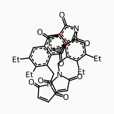 CCc1cc2c(c(CN3C(=O)C=CC3=O)c1CC)c1c3c(=O)n4c(=O)c3c2c2c(=O)n(c(=O)c21)c1c(CN2C(=O)C=CC2=O)c(CC)c(CC)cc14